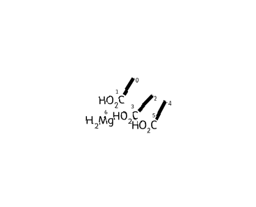 CC(=O)O.CC(=O)O.CC(=O)O.[MgH2]